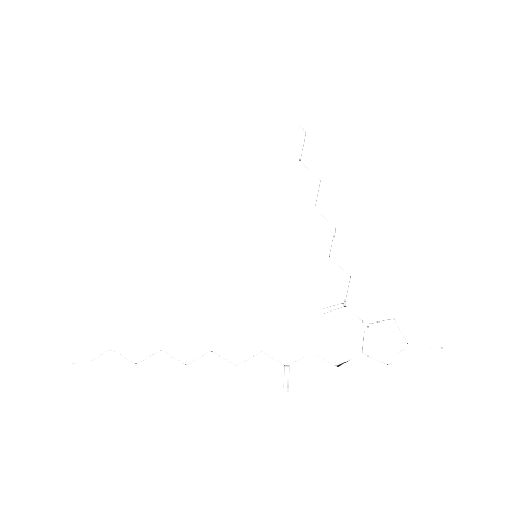 CCCCCCCCCCCCCCCCCC(=O)OC[C@@H]1C[C@@H](O)CN1C(=O)CCCCCCCCCCCCCCCCC